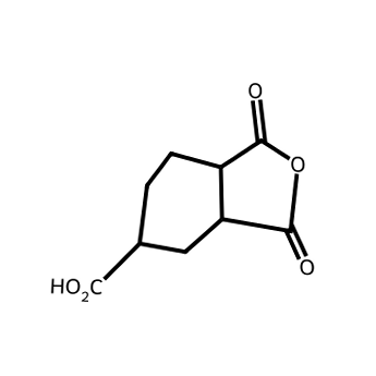 O=C(O)C1CCC2C(=O)OC(=O)C2C1